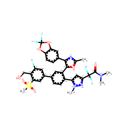 Cc1nc(-c2ccc3c(c2)OC(F)(F)O3)c(-c2cc(-c3cc(F)c(CO)c(S(C)(=O)=O)c3)ccc2-c2cc(C(F)(F)C(=O)N(C)C)nn2C)o1